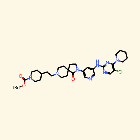 CC(C)(C)OC(=O)N1CCC(CCN2CCC3(CC2)CCN(c2cncc(Nc4ncc(Cl)c(N5CCCCC5)n4)c2)C3=O)CC1